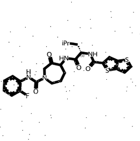 CC(C)C[C@H](NC(=O)c1cc2sccc2s1)C(=O)NC1CCCN(C(=O)Nc2ccccc2F)CC1=O